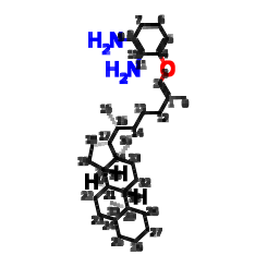 CC(=COc1cccc(N)c1N)CCC[C@@H](C)[C@H]1CC[C@H]2[C@@H]3CCC4CCCC[C@]4(C)[C@H]3CC[C@]12C